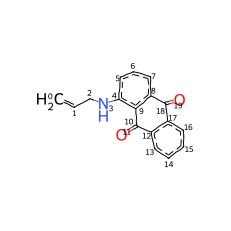 C=CCNc1cccc2c1C(=O)c1ccccc1C2=O